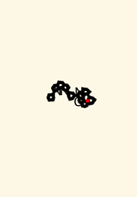 c1ccc(-c2ccc3ccc4ccc(-c5cccc(-c6nc7cccc(-c8ccccc8)c7c7c6oc6ccccc67)c5)nc4c3n2)cc1